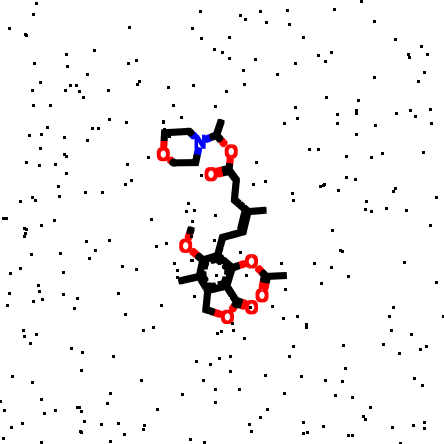 COc1c(C)c2c(c(OC(C)=O)c1CC=C(C)CCC(=O)OC(C)N1CCOCC1)C(=O)OC2